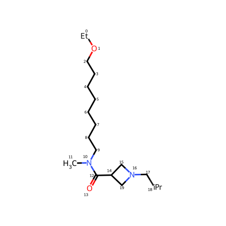 CCOCCCCCCCCN(C)C(=O)C1CN(CC(C)C)C1